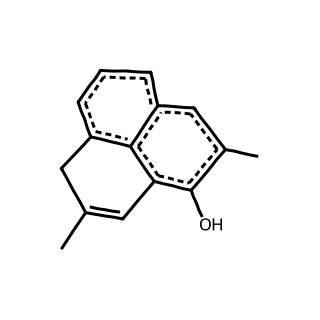 CC1=Cc2c(O)c(C)cc3cccc(c23)C1